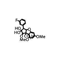 COc1cc(OC)c2c(c1)OC1C(c3cccc(F)c3)C(O)(O)C(=O)C21C(=O)O